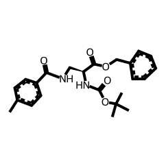 Cc1ccc(C(=O)NC[C@H](NC(=O)OC(C)(C)C)C(=O)OCc2ccccc2)cc1